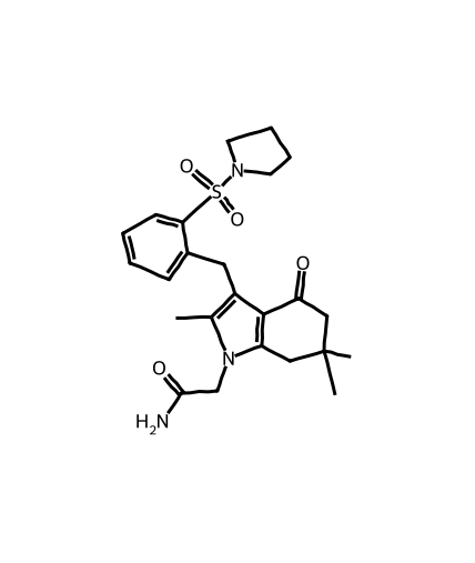 Cc1c(Cc2ccccc2S(=O)(=O)N2CCCC2)c2c(n1CC(N)=O)CC(C)(C)CC2=O